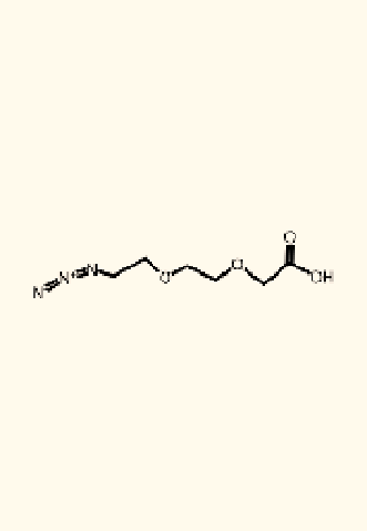 [N-]=[N+]=NCCOCCOCC(=O)O